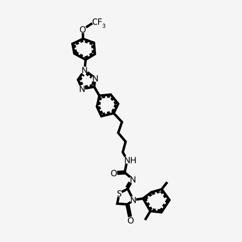 Cc1ccc(C)c(N2C(=O)CS/C2=N\C(=O)NCCCCc2ccc(-c3ncn(-c4ccc(OC(F)(F)F)cc4)n3)cc2)c1